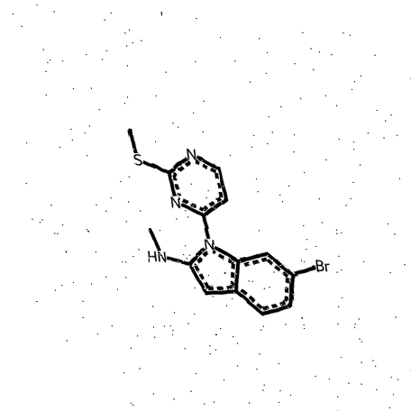 CNc1cc2ccc(Br)cc2n1-c1ccnc(SC)n1